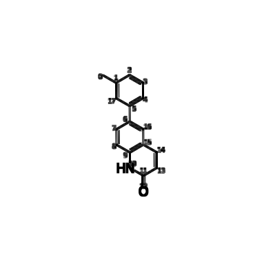 Cc1cccc(-c2ccc3[nH]c(=O)ccc3c2)c1